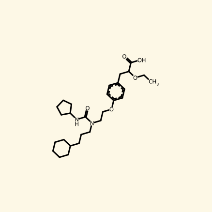 CCOC(Cc1ccc(OCCN(CCCC2CCCCC2)C(=O)NC2CCCC2)cc1)C(=O)O